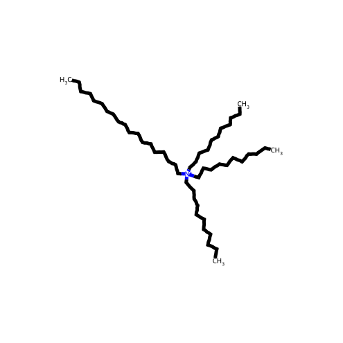 CCCCCCCCCCCCCCCCCCC[N+](CCCCCCCCCCC)(CCCCCCCCCCC)CCCCCCCCCCC